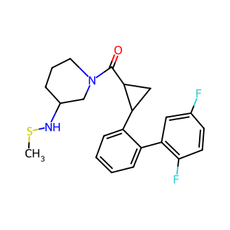 CSNC1CCCN(C(=O)C2CC2c2ccccc2-c2cc(F)ccc2F)C1